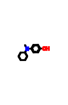 CN(c1ccc(O)cc1)C1CCCCC1